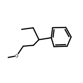 CCC(CCOC)c1ccccc1